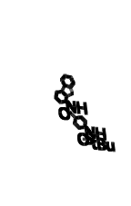 CC(C)(C)[S+]([O-])Nc1ccc(C(=O)Nc2cccc3c2Cc2ccccc2-3)cc1